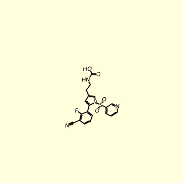 N#Cc1cccc(-c2cc(CCNC(=O)O)cn2S(=O)(=O)c2cccnc2)c1F